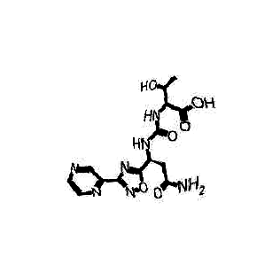 CC(O)C(NC(=O)N[C@@H](CC(N)=O)c1nc(-c2cnccn2)no1)C(=O)O